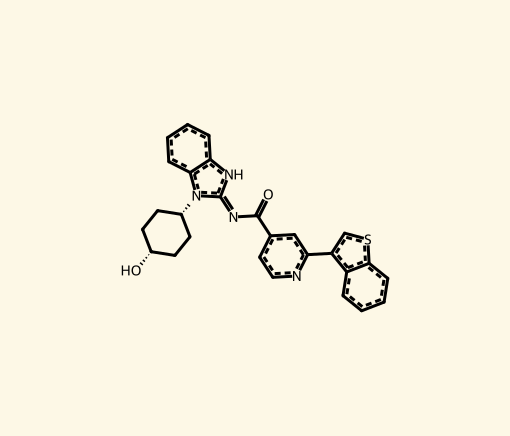 O=C(/N=c1\[nH]c2ccccc2n1[C@H]1CC[C@@H](O)CC1)c1ccnc(-c2csc3ccccc23)c1